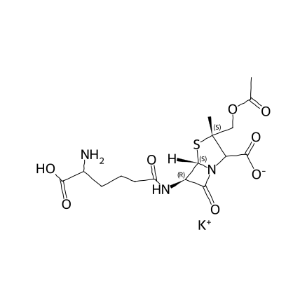 CC(=O)OC[C@@]1(C)S[C@H]2[C@H](NC(=O)CCCC(N)C(=O)O)C(=O)N2C1C(=O)[O-].[K+]